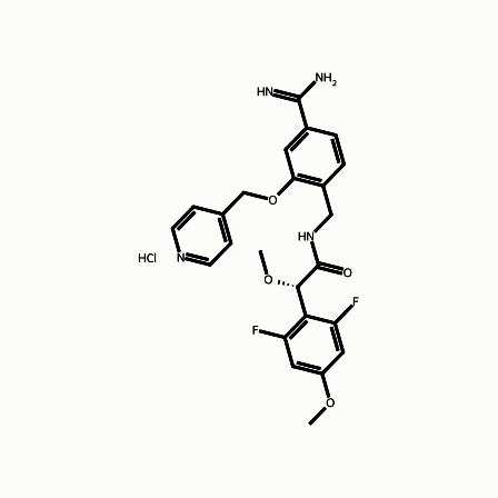 COc1cc(F)c([C@H](OC)C(=O)NCc2ccc(C(=N)N)cc2OCc2ccncc2)c(F)c1.Cl